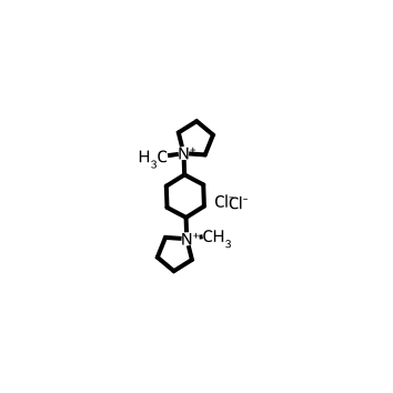 C[N+]1(C2CCC([N+]3(C)CCCC3)CC2)CCCC1.[Cl-].[Cl-]